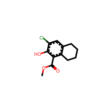 COC(=O)c1c(O)c(Cl)cc2c1CCCC2